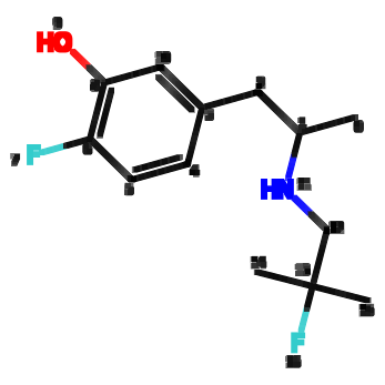 CC(Cc1ccc(F)c(O)c1)NCC(C)(C)F